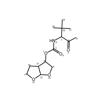 CC(=O)C(NC(=O)OC1COC2OCCC12)C(C)(C)C